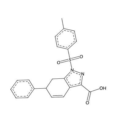 Cc1ccc(S(=O)(=O)n2nc(C(=O)O)c3c2CC(c2ccccc2)C=C3)cc1